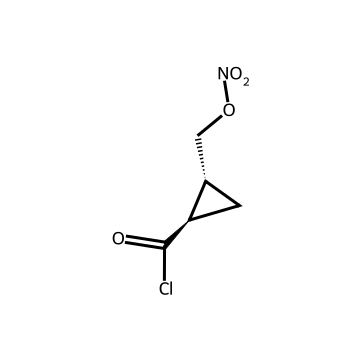 O=C(Cl)[C@@H]1C[C@H]1CO[N+](=O)[O-]